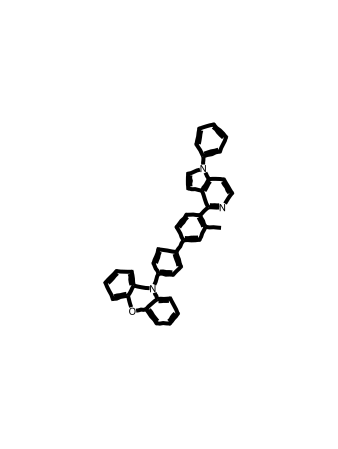 Cc1cc(-c2ccc(N3c4ccccc4Oc4ccccc43)cc2)ccc1-c1nccc2c1ccn2-c1ccccc1